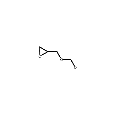 [O]COCC1CO1